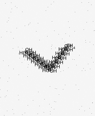 C.OB(O)O.OB(O)O.OB(O)O.OB(O)O.OB(O)O.OB(O)O.OB(O)O.OB(O)O.OB(O)O.OB(O)O.OB(O)O.OB(O)O